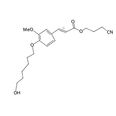 COc1cc(/C=C/C(=O)OCCCC#N)ccc1OCCCCCCO